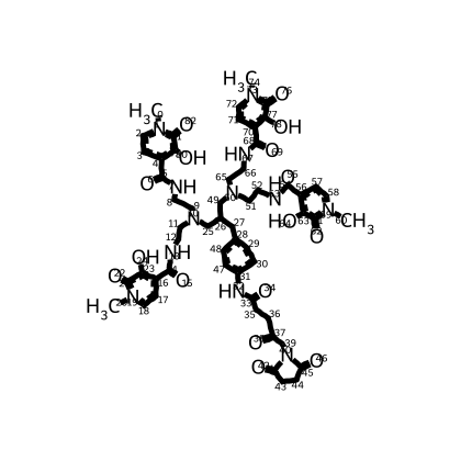 Cn1ccc(C(=O)NCCN(CCNC(=O)c2ccn(C)c(=O)c2O)CC(Cc2ccc(NC(=O)CCC(=O)CN3C(=O)CCC3=O)cc2)CN(CCNC(=O)c2ccn(C)c(=O)c2O)CCNC(=O)c2ccn(C)c(=O)c2O)c(O)c1=O